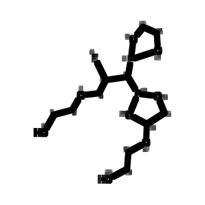 OCCOCC(F)C(P1OCCO1)P1OCC(OCCO)O1